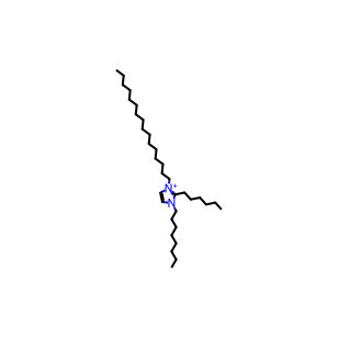 CCCCCCCCCCCCCCCC[n+]1ccn(CCCCCCCC)c1CCCCCC